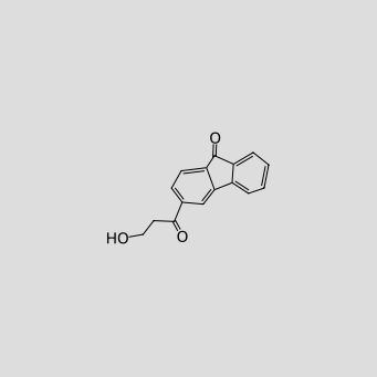 O=C(CCO)c1ccc2c(c1)-c1ccccc1C2=O